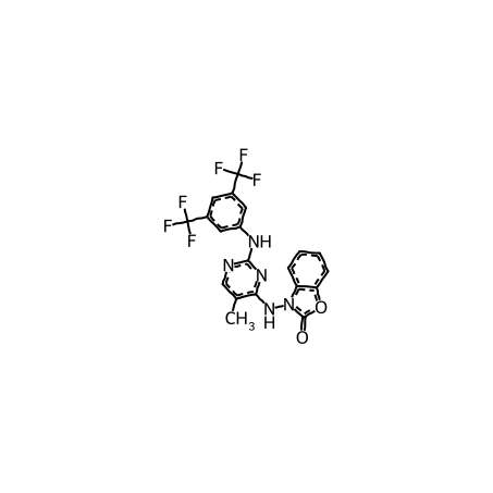 Cc1cnc(Nc2cc(C(F)(F)F)cc(C(F)(F)F)c2)nc1Nn1c(=O)oc2ccccc21